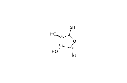 CC[C@H]1OC(S)[C@H](O)[C@H]1O